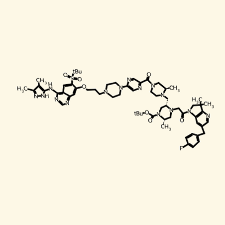 Cc1n[nH]c(Nc2ncnc3cc(OCCCN4CCN(c5cnc(C(=O)N6CCN(C[C@H]7CN(C(=O)OC(C)(C)C)[C@@H](C)CN7CC(=O)N7CC(C)(C)c8ncc(Cc9ccc(F)cc9)cc87)[C@H](C)C6)cn5)CC4)c(S(=O)(=O)C(C)(C)C)cc23)c1C